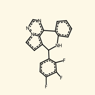 Fc1ccc(C2Nc3ccccc3-c3ncnn4ccc2c34)c(F)c1F